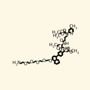 COC(=O)C[C@H](NC(=O)[C@H](CC(C)C)NC(=O)CCCN(C(=O)OC(C)(C)C)c1cc(C)ccn1)c1ccc(-c2ccc(OCCOCCOCCOCCOCCN)c3ccccc23)cc1